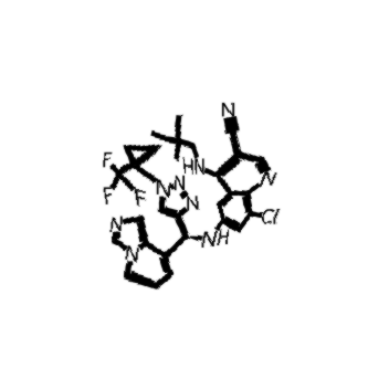 CC(C)(C)CNc1c(C#N)cnc2c(Cl)cc(N[C@H](c3cn(C4(C(F)(F)F)CC4)nn3)c3cccn4cncc34)cc12